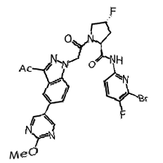 COc1ncc(-c2ccc3c(c2)c(C(C)=O)nn3CC(=O)N2C[C@H](F)C[C@H]2C(=O)Nc2ccc(F)c(Br)n2)cn1